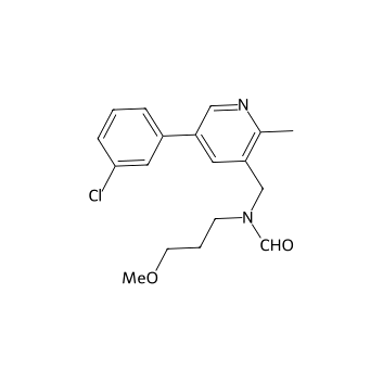 COCCCN(C=O)Cc1cc(-c2cccc(Cl)c2)cnc1C